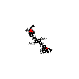 CC(=O)Oc1cc(CC(=O)Oc2ccc3c4c2O[C@H]2C(=O)CC[C@@]5(O)[C@@H](C3)N(CC3CC3)CC[C@]425)c2cc(OC(C)=O)cc(CC(=O)Oc3ccc4c5c3O[C@H]3COCCC[C@@]6(O)[C@@H](C4)N(CC4CC4)CC[C@]536)c2c1